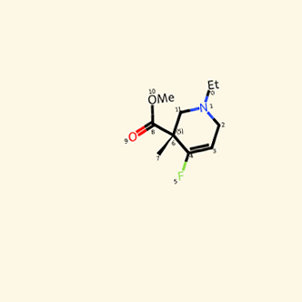 CCN1CC=C(F)[C@](C)(C(=O)OC)C1